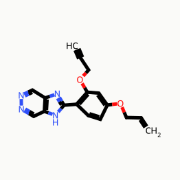 C#CCOc1cc(OCC=C)ccc1-c1nc2cnncc2[nH]1